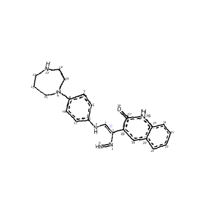 N=N/C(=C\Nc1ccc(N2CCCNCC2)cc1)c1cc2ccccc2[nH]c1=O